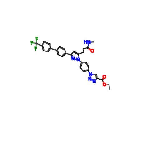 CCOC(=O)c1cn(-c2ccc(-n3nc(-c4ccc(-c5ccc(C(F)(F)F)cc5)cc4)cc3CCC(=O)NC)cc2)nn1